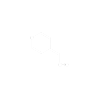 O=CC=C1C=COC=C1